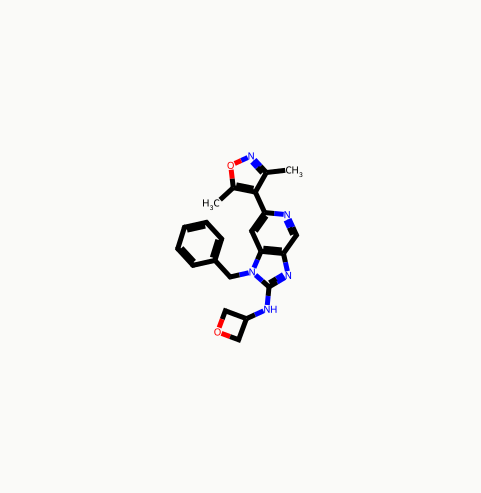 Cc1noc(C)c1-c1cc2c(cn1)nc(NC1COC1)n2Cc1ccccc1